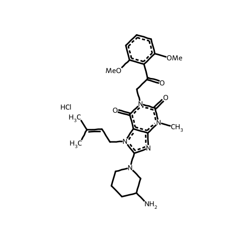 COc1cccc(OC)c1C(=O)Cn1c(=O)c2c(nc(N3CCCC(N)C3)n2CC=C(C)C)n(C)c1=O.Cl